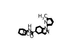 Cc1cccc(-n2ncc3c2CC[C@H](C(=O)NC2CC4CCC2N4C#N)C3)n1